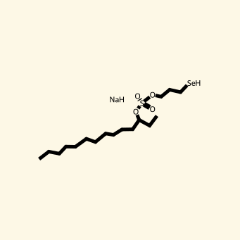 CCCCCCCCCCCC(CC)OS(=O)(=O)OCCC[SeH].[NaH]